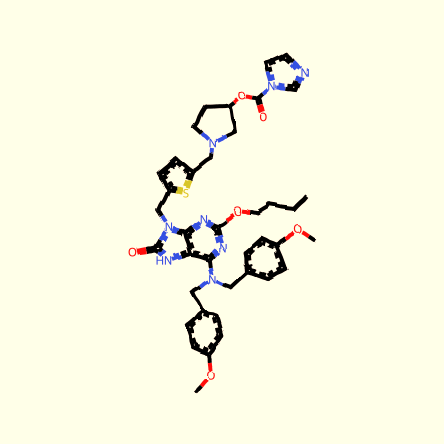 CCCCOc1nc(N(Cc2ccc(OC)cc2)Cc2ccc(OC)cc2)c2[nH]c(=O)n(Cc3ccc(CN4CCC(OC(=O)n5ccnc5)C4)s3)c2n1